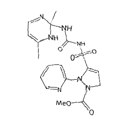 COC(=O)N1CC=C(S(=O)(=O)NC(=O)NC2(C)N=CC=C(C)N2)N1c1ccccn1